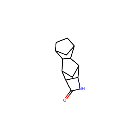 O=C1NC2C3CC(C12)C1C2CCC(C2)C31